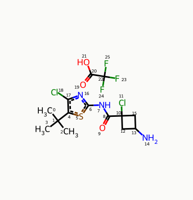 CC(C)(C)c1sc(NC(=O)C2(Cl)CC(N)C2)nc1Cl.O=C(O)C(F)(F)F